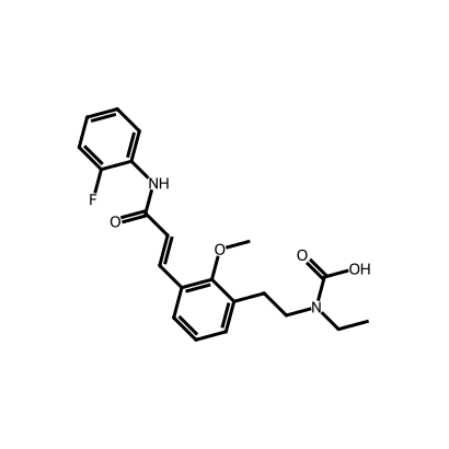 CCN(CCc1cccc(C=CC(=O)Nc2ccccc2F)c1OC)C(=O)O